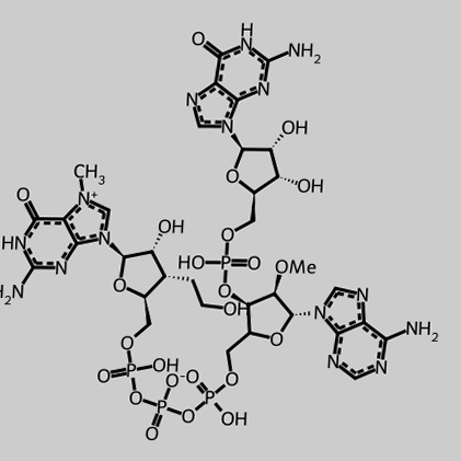 CO[C@@H]1[C@H](OP(=O)(O)OC[C@H]2O[C@@H](n3cnc4c(=O)[nH]c(N)nc43)[C@H](O)[C@@H]2O)C(COP(=O)(O)OP(=O)([O-])OP(=O)(O)OC[C@H]2O[C@@H](n3c[n+](C)c4c(=O)[nH]c(N)nc43)[C@H](O)[C@@H]2CCO)O[C@H]1n1cnc2c(N)ncnc21